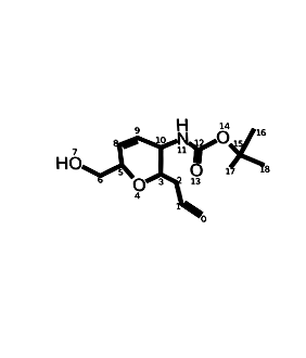 C=CCC1OC(CO)C=CC1NC(=O)OC(C)(C)C